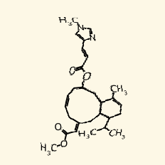 COC(=O)C=C1CC=CCC(OC(=O)C=Cc2cn(C)cn2)CC2C(C)=CCC(C(C)C)C2C1